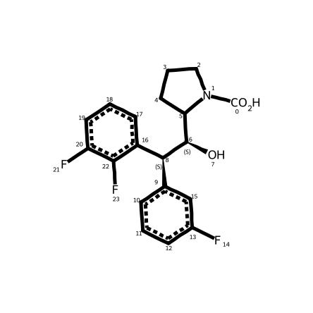 O=C(O)N1CCCC1[C@@H](O)[C@@H](c1cccc(F)c1)c1cccc(F)c1F